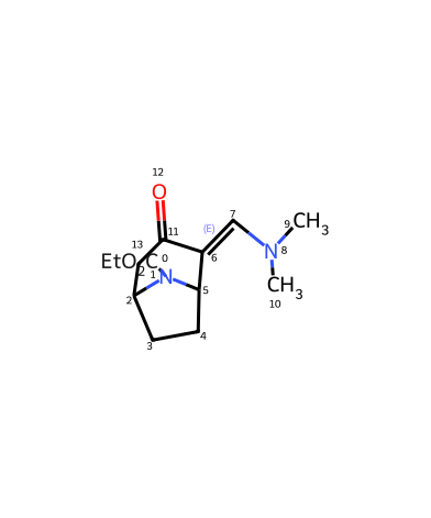 CCOC(=O)N1C2CCC1/C(=C\N(C)C)C(=O)C2